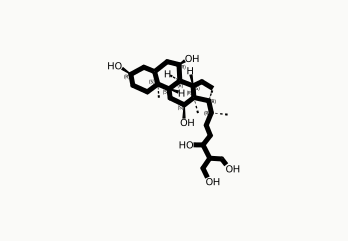 C[C@H](CCC(O)C(CO)CO)[C@H]1CC[C@H]2[C@@H]3[C@H](O)CC4C[C@H](O)CC[C@]4(C)[C@H]3C[C@H](O)[C@]12C